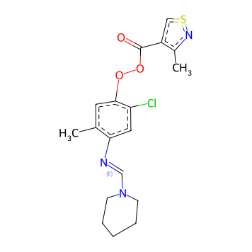 Cc1cc(OOC(=O)c2csnc2C)c(Cl)cc1/N=C/N1CCCCC1